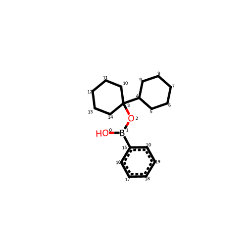 OB(OC1(C2CCCCC2)CCCCC1)c1ccccc1